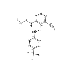 CN(C)CNc1cccc(C#N)c1CNc1ccc(C(C)(C)C)cc1